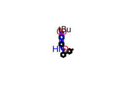 Cc1ccc(C2=C(C(=O)Nc3ccc(N4CCN(C(=O)OC(C)(C)C)CC4)cc3)CCCC2)cc1